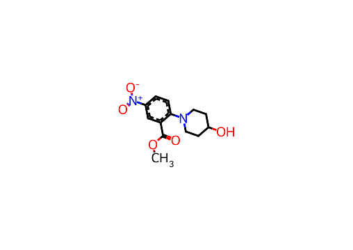 COC(=O)c1cc([N+](=O)[O-])ccc1N1CCC(O)CC1